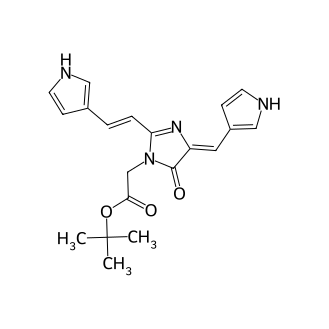 CC(C)(C)OC(=O)CN1C(=O)/C(=C/c2cc[nH]c2)N=C1/C=C/c1cc[nH]c1